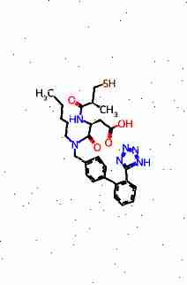 CCCCCN(Cc1ccc(-c2ccccc2-c2nnn[nH]2)cc1)C(=O)[C@H](CC(=O)O)NC(=O)[C@H](C)CS